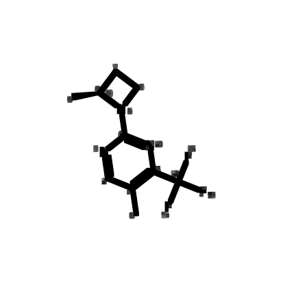 Cc1cnc(N2CC[C@@H]2C)nc1C(F)(F)F